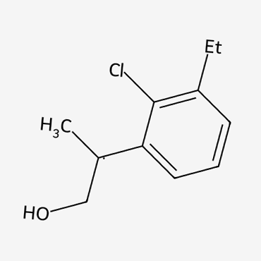 CCc1cccc([C](C)CO)c1Cl